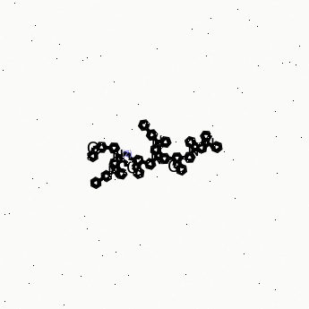 C=Cc1c(/C=C\Cc2ccc(-c3cccc(-n4c5ccc(-c6ccc(-c7cccc(-n8c9ccccc9c9c%10c%11ccccc%11n(-c%11ccccc%11)c%10ccc98)c7)c7c6oc6ccccc67)cc5c5c6c7ccccc7n(-c7ccc(-c8ccccc8)cc7)c6ccc54)c3)c3c2oc2ccccc23)n(-c2cccc(-c3ccc4oc5ccccc5c4c3)c2)c2ccc3c(c4ccccc4n3-c3ccc(-c4ccccc4)cc3)c12